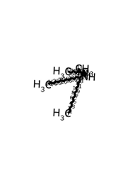 CCCCCCCCCCCCCCC(CCCCCCCCCCCC)c1[nH]cc[n+]1C(C)CCCC